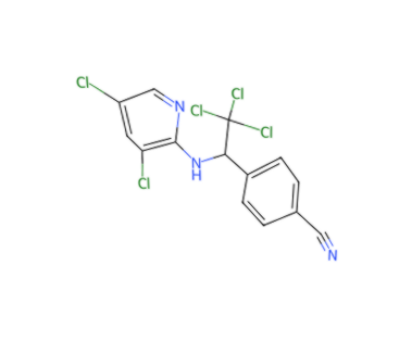 N#Cc1ccc(C(Nc2ncc(Cl)cc2Cl)C(Cl)(Cl)Cl)cc1